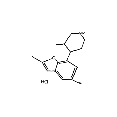 Cc1cc2cc(F)cc(C3CCNCC3C)c2o1.Cl